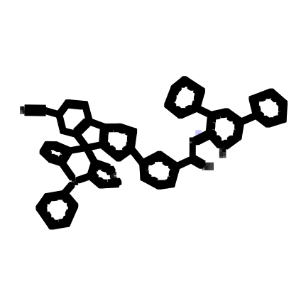 N#CC1C=CC2=C(C1)C1(c3cc(-c4cccc(C(=N)/N=c5\[nH]cc(-c6ccccc6)cc5-c5ccccc5)c4)ccc32)c2ccccc2N(c2ccccc2)c2ccccc21